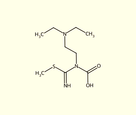 CCN(CC)CCN(C(=N)SC)C(=O)O